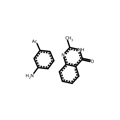 CC(=O)c1cccc(N)c1.Cc1nc2ccccc2c(=O)[nH]1